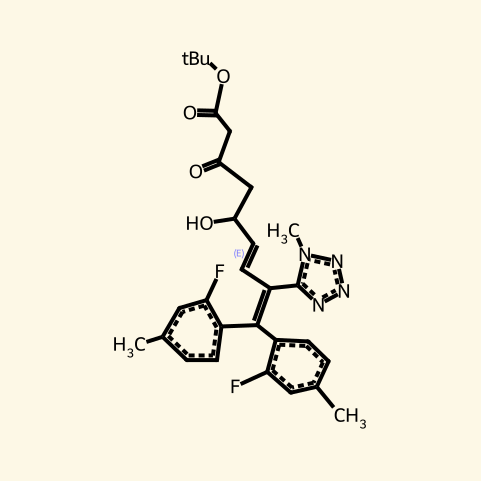 Cc1ccc(C(=C(/C=C/C(O)CC(=O)CC(=O)OC(C)(C)C)c2nnnn2C)c2ccc(C)cc2F)c(F)c1